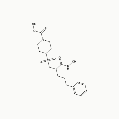 CC(C)(C)OC(=O)N1CCC(S(=O)(=O)CC(CCCc2ccccc2)C(=O)NO)CC1